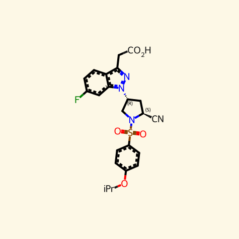 CC(C)Oc1ccc(S(=O)(=O)N2C[C@H](n3nc(CC(=O)O)c4ccc(F)cc43)C[C@H]2C#N)cc1